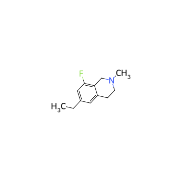 CCc1cc(F)c2c(c1)CCN(C)C2